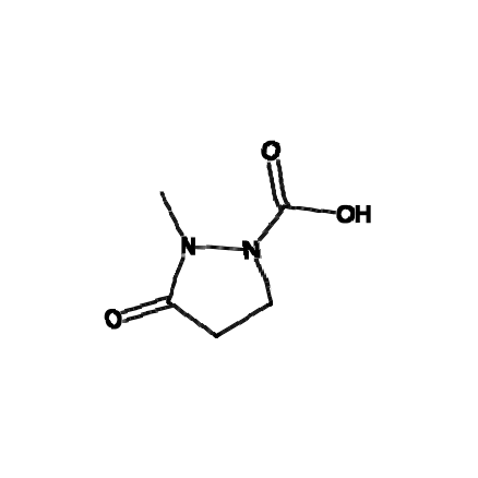 CN1C(=O)CCN1C(=O)O